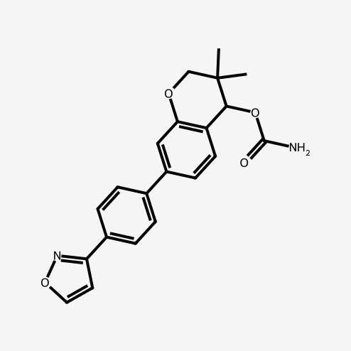 CC1(C)COc2cc(-c3ccc(-c4ccon4)cc3)ccc2C1OC(N)=O